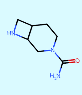 NC(=O)N1CCC2CNC2C1